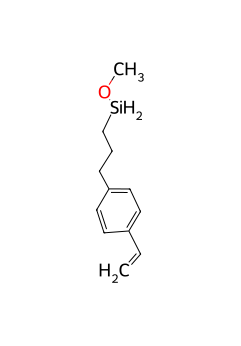 C=Cc1ccc(CCC[SiH2]OC)cc1